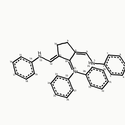 C(/Nc1ccccc1)=C1\CC/C(=C\Nc2ccccc2)C1=[N+](c1ccccc1)c1ccccc1